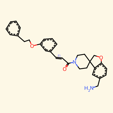 NCc1ccc2c(c1)C1(CCN(C(=O)/C=C/c3cccc(OCCc4ccccc4)c3)CC1)CO2